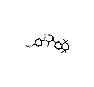 CCCCCCC=C(C(=O)Nc1ccc(C(=O)O)cc1)c1ccc2c(c1)C(C)(C)CCC2(C)C